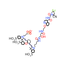 CC1(C)C(/C=C/C2=C(Oc3ccc(S(=O)(=O)O)cc3)C(=C/C=C3/N(CCCCCC(=O)NCC(O)CC(=O)NCCCOc4cccc5c(C(=O)NCC(=O)N6CC(F)(F)C[C@H]6C#N)ccnc45)c4ccc(S(=O)(=O)O)cc4C3(C)C)/CCC2)=[N+](CCCCS(=O)(=O)[O-])c2ccc(S(=O)(=O)O)cc21